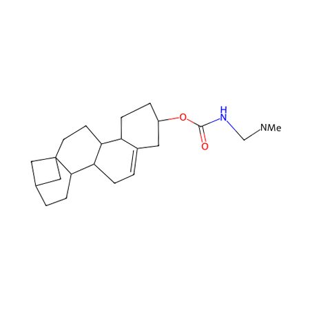 CNCNC(=O)OC1CCC2C(=CCC3C2CCC24CC(CCC32)C4)C1